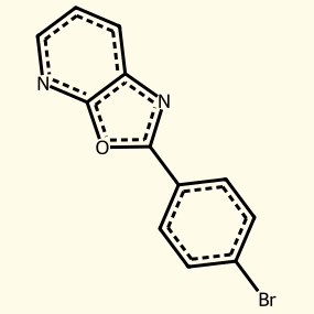 Brc1ccc(-c2nc3cccnc3o2)cc1